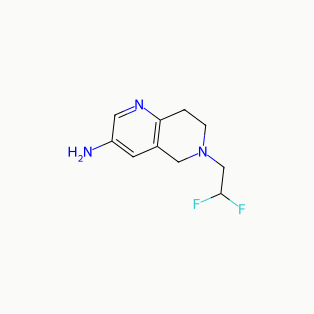 Nc1cnc2c(c1)CN(CC(F)F)CC2